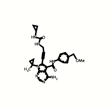 COCc1ccc(NC(=O)c2c(C#CCNC(=O)NC3CC3)n(C3(C)CC3)c3ncnc(N)c23)cc1